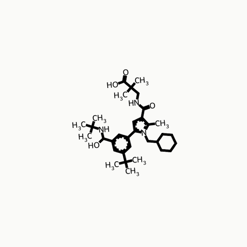 Cc1c(C(=O)NCC(C)(C)C(=O)O)cc(-c2cc(C(O)NC(C)(C)C)cc(C(C)(C)C)c2)n1CC1CCCCC1